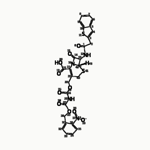 O=C(Cc1cc2ccccc2s1)NC1C(=O)N2C(C(=O)O)=C(COC(=O)NC(=O)OCc3ccccc3[N+](=O)[O-])CS[C@@H]12